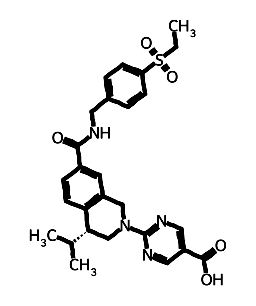 CCS(=O)(=O)c1ccc(CNC(=O)c2ccc3c(c2)CN(c2ncc(C(=O)O)cn2)C[C@@H]3C(C)C)cc1